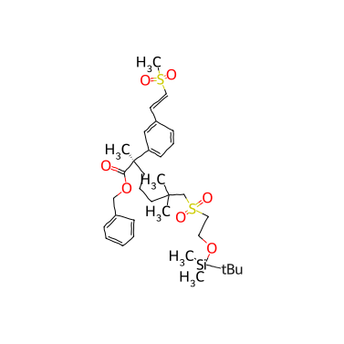 CC(C)(CCC[C@@](C)(C(=O)OCc1ccccc1)c1cccc(/C=C/S(C)(=O)=O)c1)CS(=O)(=O)CCO[Si](C)(C)C(C)(C)C